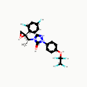 C[C@@H](n1cnn(-c2ccc(OC(F)(F)C(F)F)cc2)c1=O)[C@@]1(c2ccc(F)cc2F)CO1